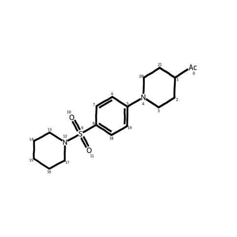 CC(=O)C1CCN(c2ccc(S(=O)(=O)N3CCCCC3)cc2)CC1